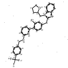 Fc1cc(Cc2nc3ccccc3n2CC2CCCO2)ccc1-c1cccc(OCc2ccc(C(F)(F)F)cc2)n1